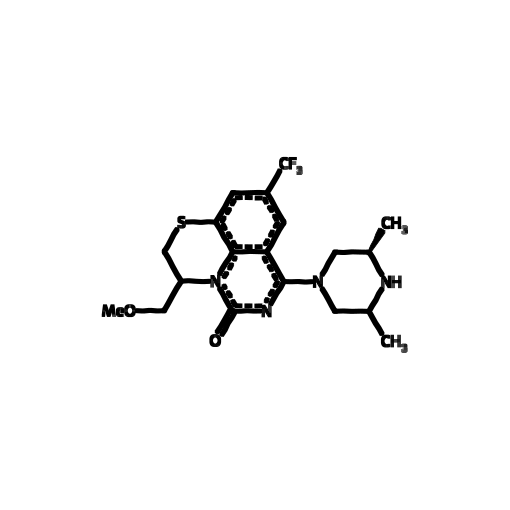 COCC1CSc2cc(C(F)(F)F)cc3c(N4CC(C)N[C@H](C)C4)nc(=O)n1c23